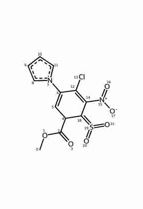 COC(=O)C1C=C(n2cccc2)C(Cl)=C([N+](=O)[O-])C1=S(=O)=O